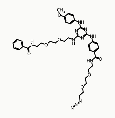 COc1ccc(Nc2nc(NCCOCCOCCNC(=O)c3ccccc3)nc(Nc3ccc(C(=O)NCCOCCOCCN=[N+]=[N-])cc3)n2)cc1